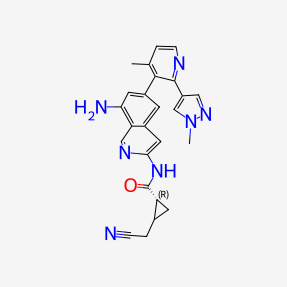 Cc1ccnc(-c2cnn(C)c2)c1-c1cc(N)c2cnc(NC(=O)[C@@H]3CC3CC#N)cc2c1